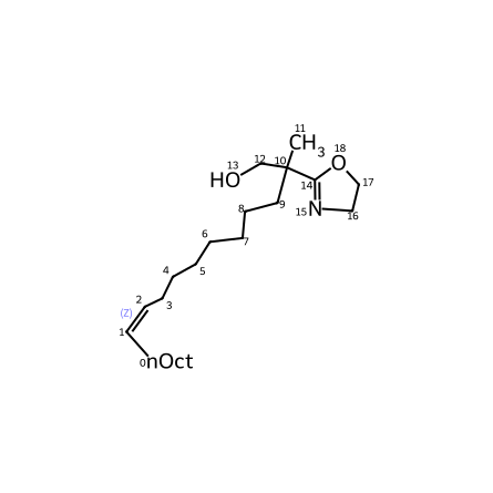 CCCCCCCC/C=C\CCCCCCCC(C)(CO)C1=NCCO1